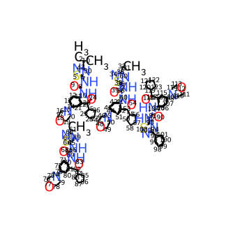 CC(C)c1nsc(NC(=O)Nc2ccc(N3CCOCC3)cc2C(=O)C2CCCC2)n1.CCc1nsc(NC(=O)Nc2ccc(N3CCOCC3)cc2C(=O)C2CCCC2)n1.Cc1nsc(NC(=O)Nc2ccc(N3CCOCC3)cc2C(=O)C2CCCC2)n1.O=C(Nc1nc(-c2ccccc2)ns1)Nc1ccc(N2CCOCC2)cc1C(=O)C1CCCC1